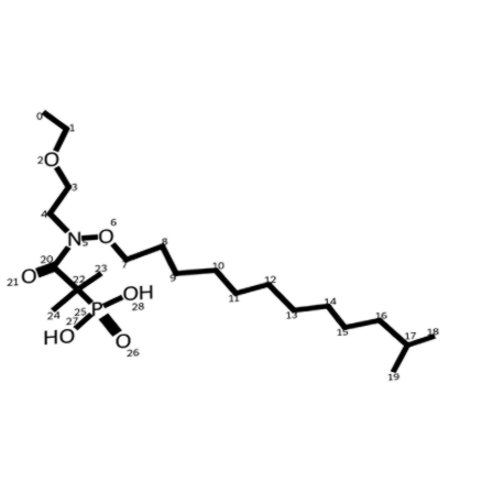 CCOCCN(OCCCCCCCCCCC(C)C)C(=O)C(C)(C)P(=O)(O)O